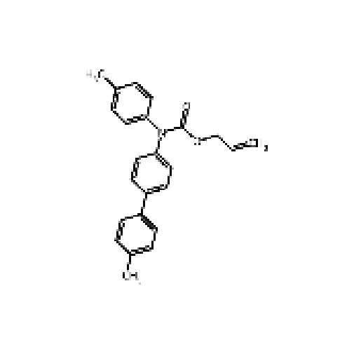 C=CCOC(=O)N(c1ccc(C)cc1)c1ccc(-c2ccc(C)cc2)cc1